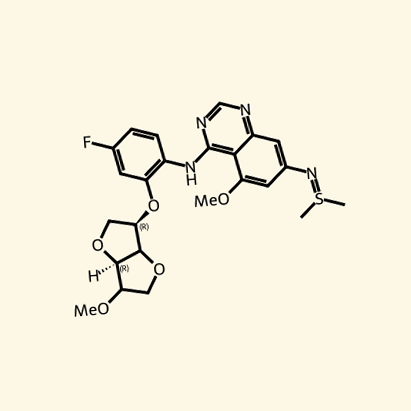 COc1cc(N=S(C)C)cc2ncnc(Nc3ccc(F)cc3O[C@@H]3CO[C@@H]4C(OC)COC43)c12